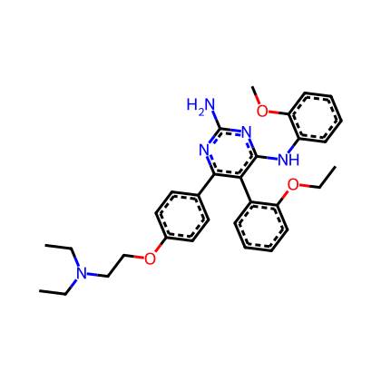 CCOc1ccccc1-c1c(Nc2ccccc2OC)nc(N)nc1-c1ccc(OCCN(CC)CC)cc1